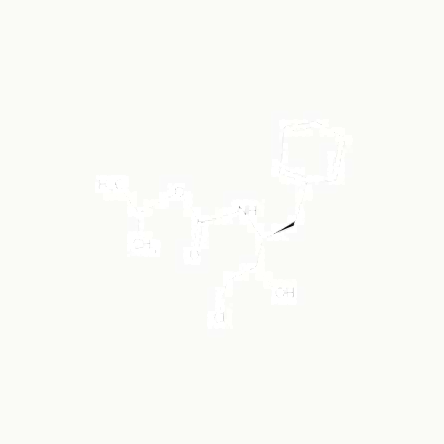 CC(C)OC(=O)N[C@@H](Cc1ccccc1)[C@H](O)CCl